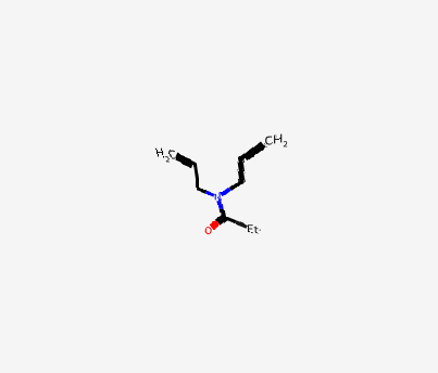 C=CCN(CC=C)C(=O)[CH]C